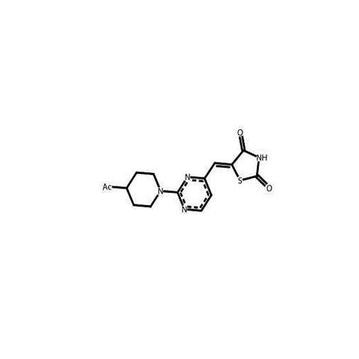 CC(=O)C1CCN(c2nccc(/C=C3\SC(=O)NC3=O)n2)CC1